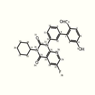 O=Cc1ccc(O)cc1-c1cccc(-n2c(=O)n(C3CC[CH]CC3)c(=O)c3cc(F)cnc32)c1